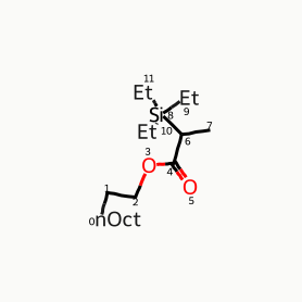 CCCCCCCCCCOC(=O)C(C)[Si](CC)(CC)CC